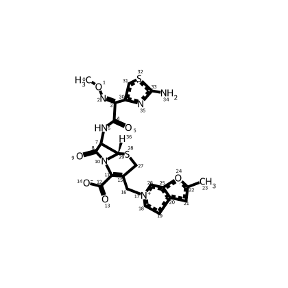 CON=C(C(=O)NC1C(=O)N2C(C(=O)[O-])=C(C[n+]3ccc4cc(C)oc4c3)CS[C@@H]12)c1csc(N)n1